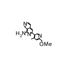 COCc1cc(C)c(-c2cc3ccncc3c(N)n2)cn1